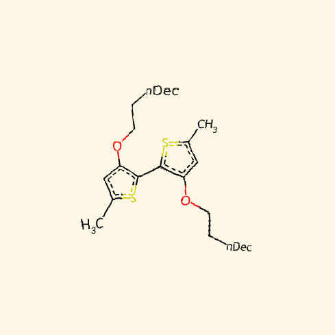 CCCCCCCCCCCCOc1cc(C)sc1-c1sc(C)cc1OCCCCCCCCCCCC